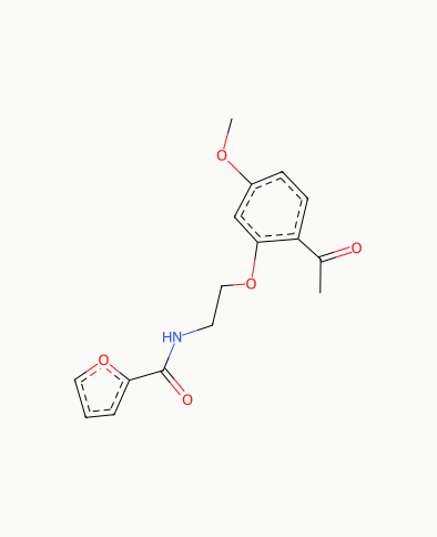 COc1ccc(C(C)=O)c(OCCNC(=O)c2ccco2)c1